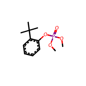 COP(=O)(OC)Oc1ccccc1C(C)(C)C